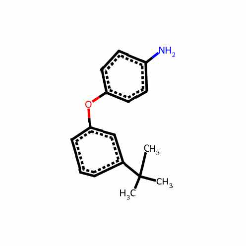 CC(C)(C)c1[c]ccc(Oc2ccc(N)cc2)c1